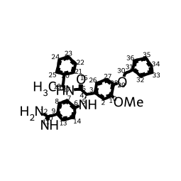 COc1cc([C@H](Nc2ccc(C(=N)N)cc2)C(=O)N[C@H](C)c2ccccc2)ccc1OCc1ccccc1